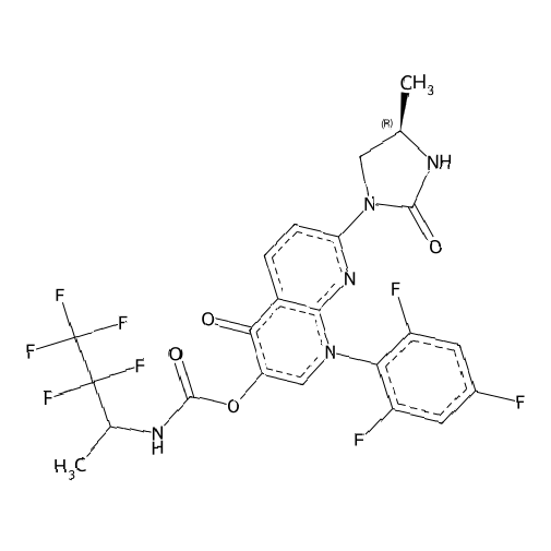 CC(NC(=O)Oc1cn(-c2c(F)cc(F)cc2F)c2nc(N3C[C@@H](C)NC3=O)ccc2c1=O)C(F)(F)C(F)(F)F